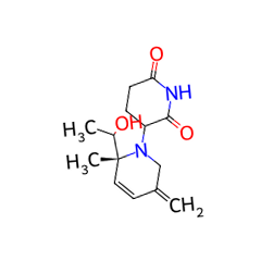 C=C1C=C[C@](C)(C(C)O)N(C2CCC(=O)NC2=O)C1